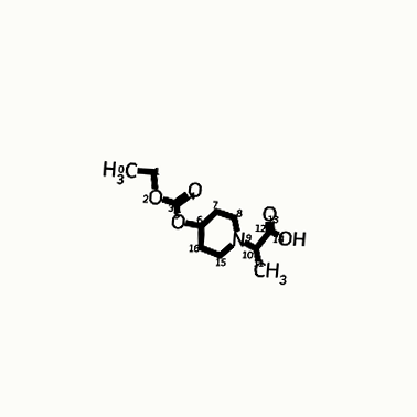 CCOC(=O)OC1CCN(C(C)C(=O)O)CC1